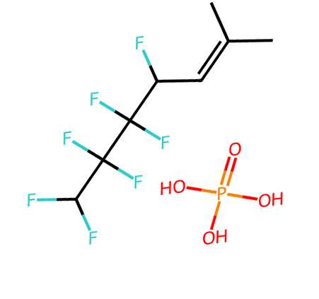 CC(C)=CC(F)C(F)(F)C(F)(F)C(F)F.O=P(O)(O)O